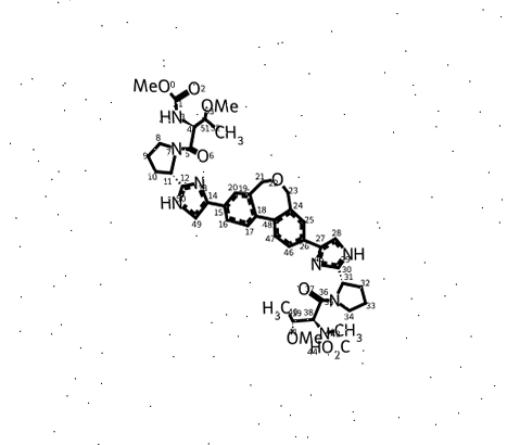 COC(=O)N[C@H](C(=O)N1CCC[C@H]1c1nc(-c2ccc3c(c2)COCc2cc(-c4c[nH]c([C@@H]5CCCN5C(=O)[C@H]([C@@H](C)OC)N(C)C(=O)O)n4)ccc2-3)c[nH]1)C(C)OC